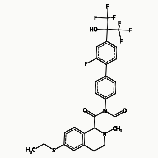 CCSc1ccc2c(c1)CCN(C)C2C(=O)N(C=O)c1ccc(-c2ccc(C(O)(C(F)(F)F)C(F)(F)F)cc2F)cc1